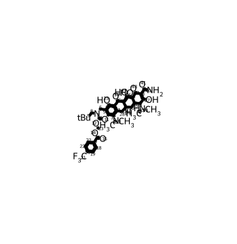 CN(C)c1cc(CN(CC(C)(C)C)C(=O)OCOC(=O)c2ccc(C(F)(F)F)cc2)c(O)c2c1C[C@H]1C[C@H]3[C@H](N(C)C)C(O)=C(C(N)=O)C(=O)[C@@]3(O)C(O)=C1C2=O